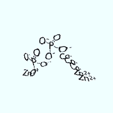 O=P([O-])([O-])[O-].O=P([O-])([O-])[O-].[Co].[Co].[Co].[Zn+2].[Zn+2].[Zn+2]